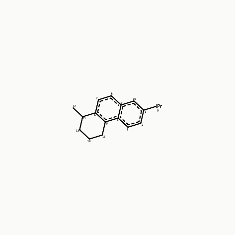 CC(C)c1ccc2c3c(ccc2c1)C(C)CCC3